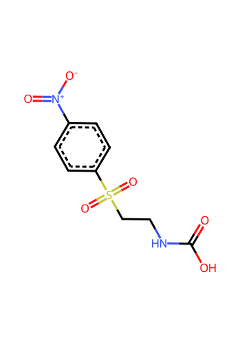 O=C(O)NCCS(=O)(=O)c1ccc([N+](=O)[O-])cc1